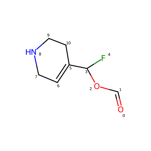 O=COC(F)C1=CCNCC1